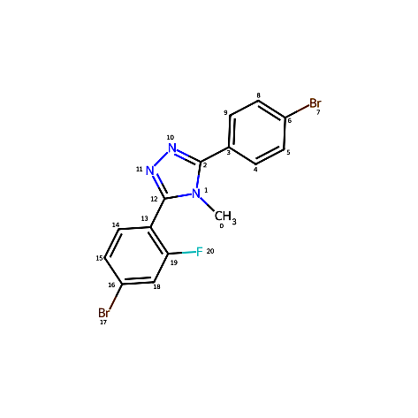 Cn1c(-c2ccc(Br)cc2)nnc1-c1ccc(Br)cc1F